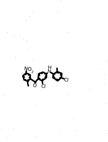 Cc1cc(Cl)ccc1Nc1ccc(C(=O)c2cc([N+](=O)[O-])ccc2C)c(Cl)c1